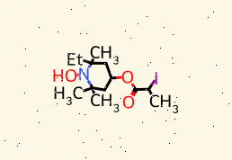 CCC1(C)CC(OC(=O)C(C)I)CC(C)(C)N1O